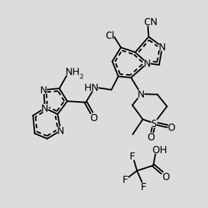 CC1CN(c2c(CNC(=O)c3c(N)nn4cccnc34)cc(Cl)c3c(C#N)ncn23)CCS1(=O)=O.O=C(O)C(F)(F)F